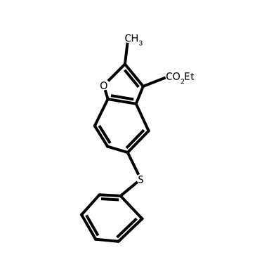 CCOC(=O)c1c(C)oc2ccc(Sc3ccccc3)cc12